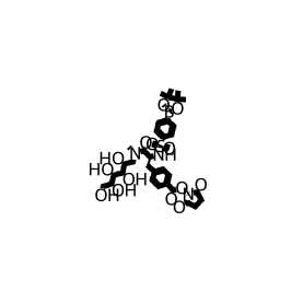 CN(C[C@@H](O)[C@H](O)[C@@H](O)[C@@H](O)CO)C(=O)[C@H](Cc1ccc(C(=O)ON2C(=O)CCC2=O)cc1)NS(=O)(=O)c1ccc(B2OC(C)(C)C(C)(C)O2)cc1